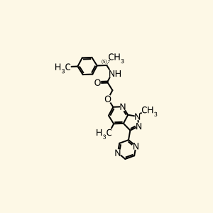 Cc1ccc([C@H](C)NC(=O)COc2cc(C)c3c(-c4cnccn4)nn(C)c3n2)cc1